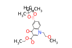 CCOC(=O)c1cn(CCOC)c2ccc(B3OC(C)(C)C(C)(C)O3)cc2c1=O